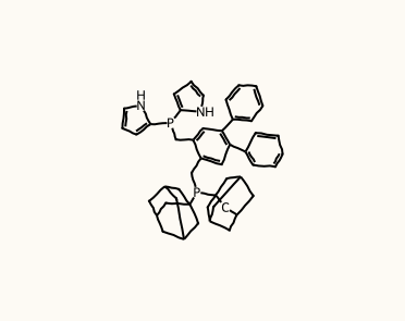 c1ccc(-c2cc(CP(c3ccc[nH]3)c3ccc[nH]3)c(CP(C34CC5CC(CC(C5)C3)C4)C34CC5CC(CC(C5)C3)C4)cc2-c2ccccc2)cc1